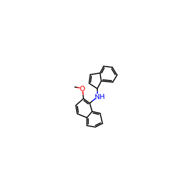 COc1ccc2ccccc2c1NC1C=Cc2ccccc21